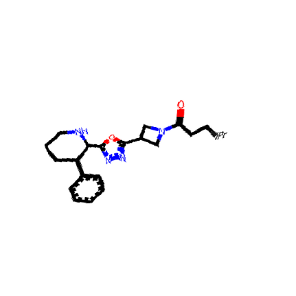 CC(C)CCC(=O)N1CC(c2nnc(C3NCCCC3c3ccccc3)o2)C1